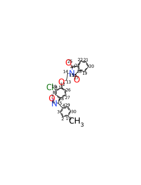 Cc1ccc(-c2noc3c(Cl)c(OCCN4C(=O)c5ccccc5C4=O)ccc23)cc1